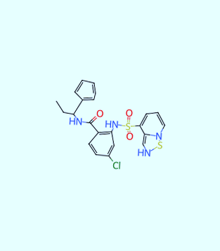 CCC(NC(=O)c1ccc(Cl)cc1NS(=O)(=O)C1=CC=CN2SNC=C12)c1ccccc1